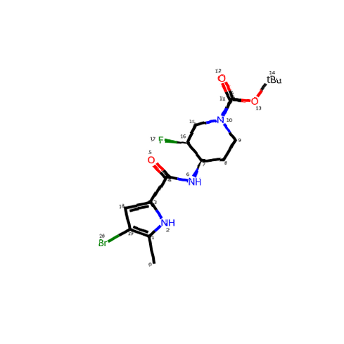 Cc1[nH]c(C(=O)N[C@@H]2CCN(C(=O)OC(C)(C)C)C[C@@H]2F)cc1Br